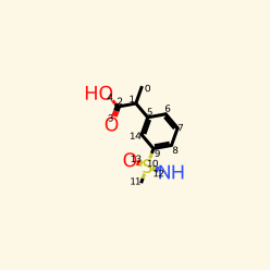 CC(C(=O)O)c1cccc(S(C)(=N)=O)c1